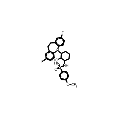 N=S(=O)(NC1CCCC(N2c3ccc(F)cc3CCc3cc(F)ccc32)C1O)c1ccc(OC(F)(F)F)cc1